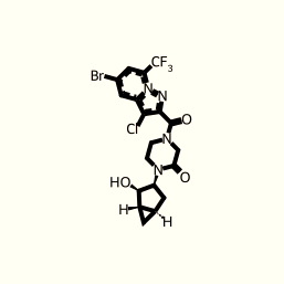 O=C(c1nn2c(C(F)(F)F)cc(Br)cc2c1Cl)N1CCN([C@H]2C[C@H]3C[C@@H]3[C@H]2O)C(=O)C1